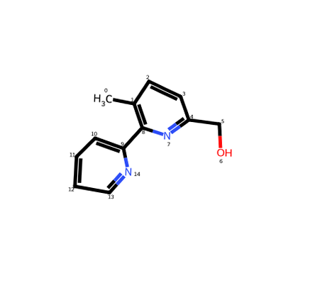 Cc1ccc(CO)nc1-c1ccccn1